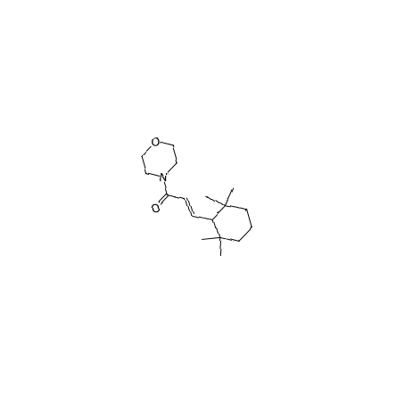 CC1(C)CCCC(C)(C)C1C=CC(=O)N1CCOCC1